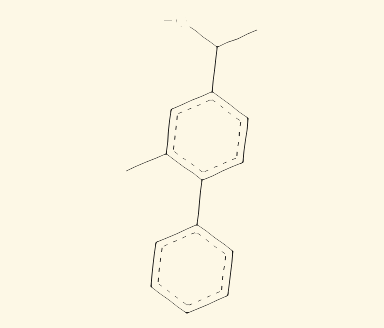 Cc1cc(C(C)O)ccc1-c1ccccc1